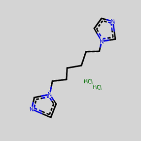 Cl.Cl.c1cn(CCCCCCn2ccnc2)cn1